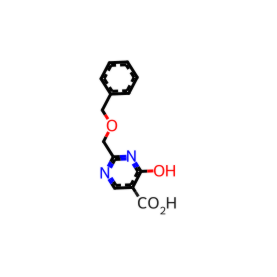 O=C(O)c1cnc(COCc2ccccc2)nc1O